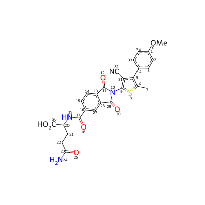 COc1ccc(-c2c(C)sc(N3C(=O)c4ccc(C(=O)NC(CCC(N)=O)C(=O)O)cc4C3=O)c2C#N)cc1